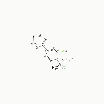 CCOC(=O)C(C)(Cl)c1ccc(-c2ccccc2)cc1F